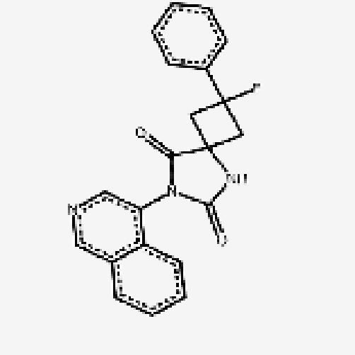 O=C1NC2(CC(F)(c3ccccc3)C2)C(=O)N1c1cncc2ccccc12